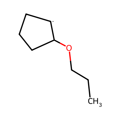 CCCOC1[CH]CCC1